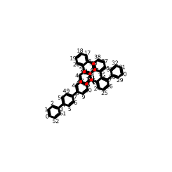 c1ccc(-c2ccc(-c3ccc(N(c4ccc5ccccc5c4)c4cccc(-c5ccccc5)c4-c4ccccc4-c4ccccc4)cc3)cc2)cc1